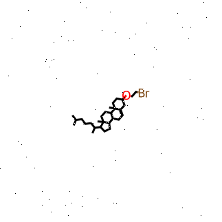 CC(C)CCCC(C)C1CCC2C3CC=C4CC(OCCBr)CCC4(C)C3CCC12C